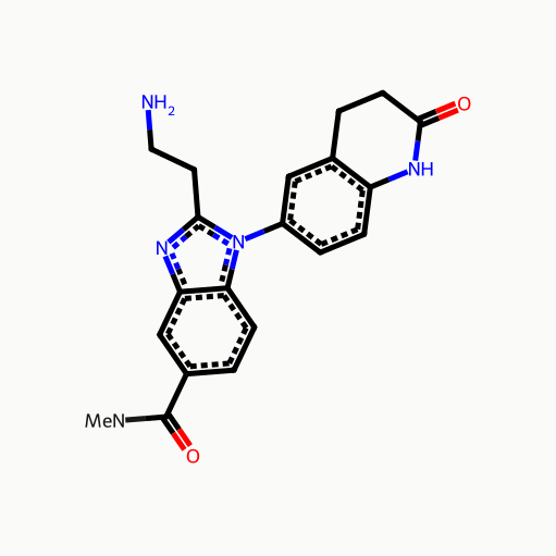 CNC(=O)c1ccc2c(c1)nc(CCN)n2-c1ccc2c(c1)CCC(=O)N2